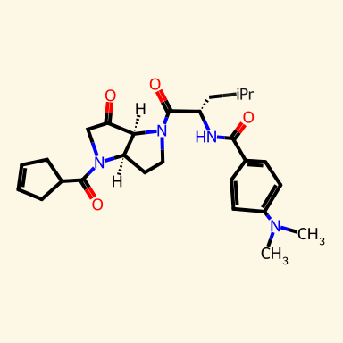 CC(C)C[C@H](NC(=O)c1ccc(N(C)C)cc1)C(=O)N1CC[C@@H]2[C@H]1C(=O)CN2C(=O)C1CC=CC1